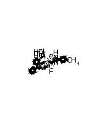 Cc1ccc(-c2nc(C(O)CN3CCN(CC(c4ccccc4)c4ccccc4)CC3)c(C)[nH]2)cc1.Cl.Cl.Cl